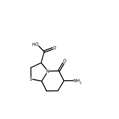 NC1CCC2SCC(C(=O)O)N2C1=O